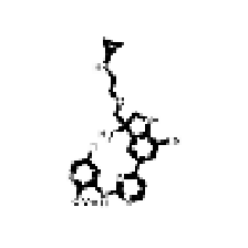 COc1ncc(Cl)cc1Nc1nccc(-c2cc(C#N)c3c(c2)C(C)(COCCNC2CC2)CN3)n1